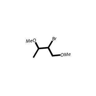 COCC(Br)C(C)OC